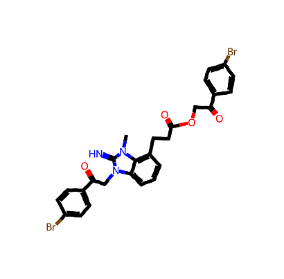 Cn1c(=N)n(CC(=O)c2ccc(Br)cc2)c2cccc(CCC(=O)OCC(=O)c3ccc(Br)cc3)c21